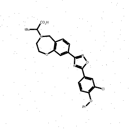 CC(C)Oc1ccc(-c2nc(-c3ccc4c(c3)OCCN(C(C(=O)O)C(C)(C)C)C4)no2)cc1Cl